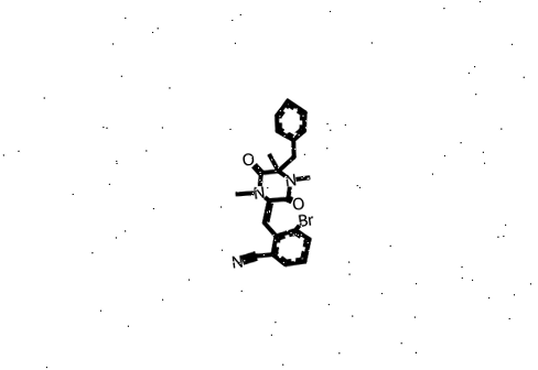 CN1C(=O)C(C)(Cc2ccccc2)N(C)C(=O)C1=Cc1c(Br)cccc1C#N